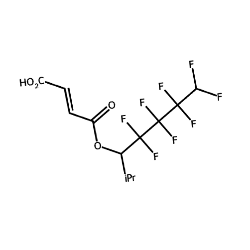 CC(C)C(OC(=O)C=CC(=O)O)C(F)(F)C(F)(F)C(F)(F)C(F)F